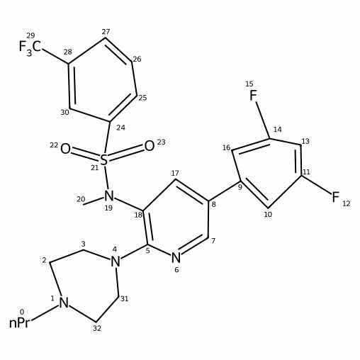 CCCN1CCN(c2ncc(-c3cc(F)cc(F)c3)cc2N(C)S(=O)(=O)c2cccc(C(F)(F)F)c2)CC1